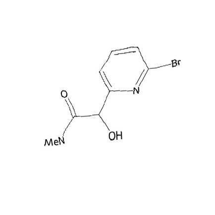 CNC(=O)C(O)c1cccc(Br)n1